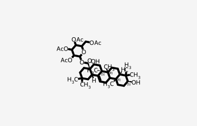 CC(=O)OCC1OC(OC(=O)[C@]23CCC(C)(C)C[C@H]2C2=CCC4[C@@]5(C)CC[C@H](O)C(C)(C)[C@@H]5CC[C@@]4(C)[C@]2(C)CC3O)C(OC(C)=O)C(OC(C)=O)C1OC(C)=O